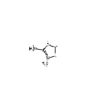 NC1=NCCS1.O